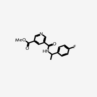 COC(=O)c1cncc(C(=O)NC(C)c2ccc(F)cc2)c1